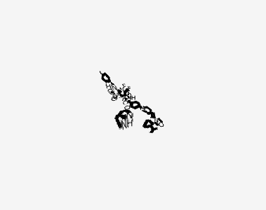 CC(C)c1ccccc1[C@@H]1COCCN1C1CC2(CCN(c3ccc(C(=O)NS(=O)(=O)c4cc([N+](=O)[O-])c(NC[C@H]5CC[C@@H](C)CC5)nc4C(F)(F)F)c(Oc4cnc5[nH]ccc5c4)c3)CC2)C1